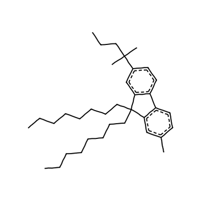 CCCCCCCCC1(CCCCCCCC)c2cc(C)ccc2-c2ccc(C(C)(C)CCC)cc21